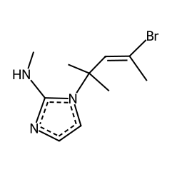 CNc1nccn1C(C)(C)/C=C(\C)Br